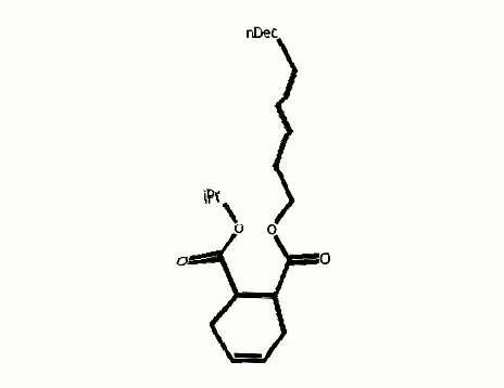 CCCCCCCCCCCCCCCOC(=O)C1CC=CCC1C(=O)OC(C)C